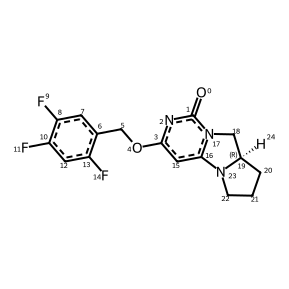 O=c1nc(OCc2cc(F)c(F)cc2F)cc2n1C[C@H]1CCCN21